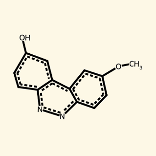 COc1ccc2nnc3ccc(O)cc3c2c1